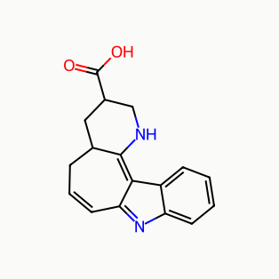 O=C(O)C1CNC2=C3C(=Nc4ccccc43)C=CCC2C1